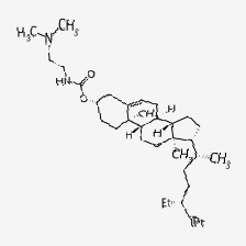 CC[C@H](CC[C@@H](C)[C@H]1CC[C@H]2[C@@H]3CC=C4C[C@@H](OC(=O)NCCN(C)C)CC[C@]4(C)[C@H]3CC[C@]12C)C(C)C